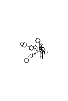 CN(C(=O)c1cc2cc(C3CCOCC3)ccc2n1[C@@]1(c2noc(=O)[nH]2)C[C@@H]1COCc1ccccc1)c1ccccc1